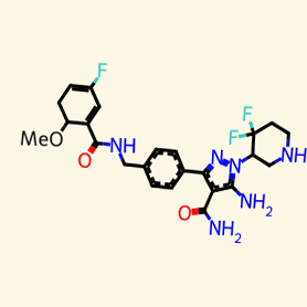 COC1CC=C(F)C=C1C(=O)NCc1ccc(-c2nn(C3CNCCC3(F)F)c(N)c2C(N)=O)cc1